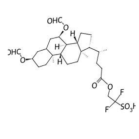 C[C@H](CCC(=O)OCC(F)(F)S(=O)(=O)O)[C@H]1CC[C@H]2[C@@H]3[C@H](OC=O)CC4C[C@H](OC=O)CC[C@]4(C)[C@H]3CC[C@]12C